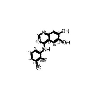 Oc1cc2ncnc(Nc3cccc(Br)c3F)c2cc1O